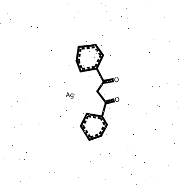 O=C(CC(=O)c1ccccc1)c1ccccc1.[Ag]